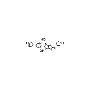 CN(c1nc2sc(-c3ncc(-c4cn[nH]c4)cc3O)nc2s1)[C@@H]1CCNC1.Cl